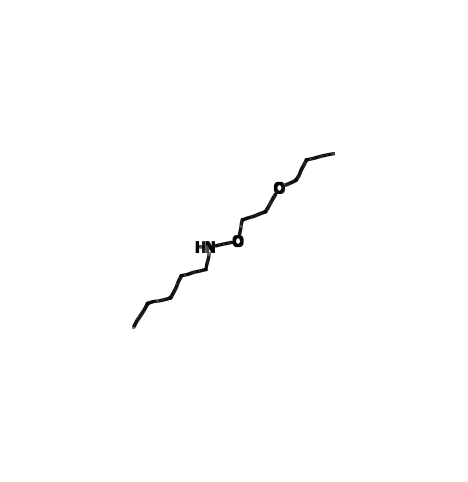 CCCCCNOCCOCCC